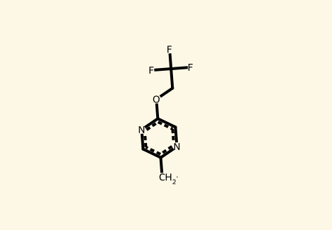 [CH2]c1cnc(OCC(F)(F)F)cn1